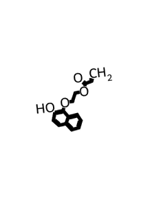 C=CC(=O)OCCOc1c(O)ccc2ccccc12